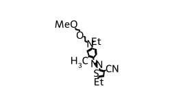 CCc1cc(C#N)c(/N=N/c2ccc(N(CC)CCOCCOC)cc2C)s1